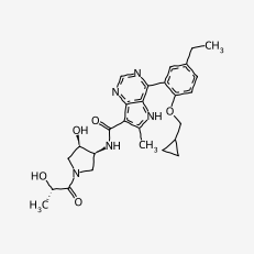 CCc1ccc(OCC2CC2)c(-c2ncnc3c(C(=O)N[C@H]4CN(C(=O)[C@H](C)O)C[C@H]4O)c(C)[nH]c23)c1